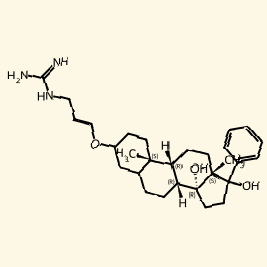 C[C@]12CCC(OCCCNC(=N)N)CC1CC[C@@H]1[C@H]2CC[C@]2(C)C(O)(c3ccccc3)CC[C@@]12O